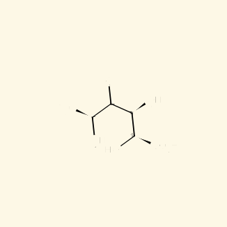 CC([C@@H](O)[C@H](O)C(=O)O)[C@@H](O)C(=O)O